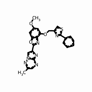 COc1cc(OCc2csc(-c3ccccc3)n2)c2nc(-c3cn4nc(C)cnc4n3)oc2c1